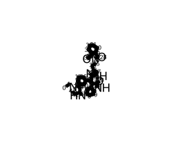 CCN1CCC(Nc2ccc3c(c2)/C(=C(\c2ccccc2)c2nc(CCN4C(=O)c5ccccc5C4=O)c[nH]2)C(=O)N3)CC1